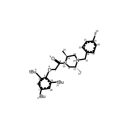 CCC(C)c1cc(C(C)(C)C)c(OCC(=O)N2C[C@@H](C)N(Cc3ccc(F)cc3)C[C@@H]2C)c(C(C)(C)C)c1